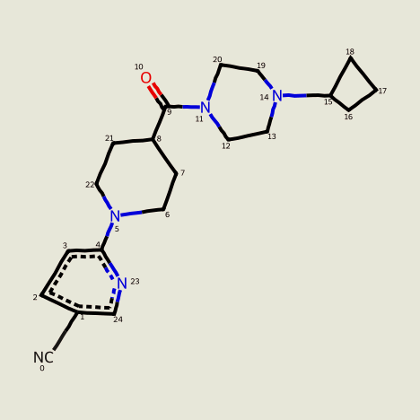 N#Cc1ccc(N2CCC(C(=O)N3CCN(C4CCC4)CC3)CC2)nc1